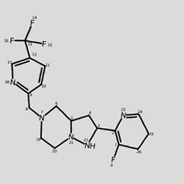 FC1=C(C2CC3CN(Cc4ccc(C(F)(F)F)cn4)CCN3N2)N=CCC1